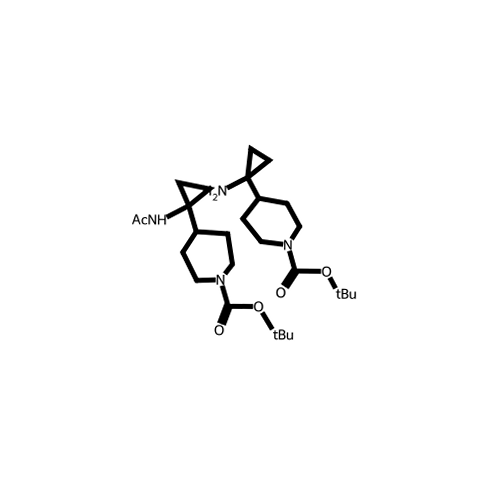 CC(=O)NC1(C2CCN(C(=O)OC(C)(C)C)CC2)CC1.CC(C)(C)OC(=O)N1CCC(C2(N)CC2)CC1